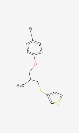 CCc1ccc(OCC(CSc2ccsc2)OC)cc1